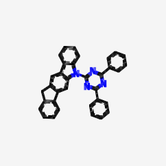 c1ccc(-c2nc(-c3ccccc3)nc(-n3c4ccccc4c4cc5c(cc43)-c3ccccc3C5)n2)cc1